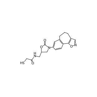 O=C(CS)NCC1CN(c2ccc3c(c2)CCCc2cnoc2-3)C(=O)O1